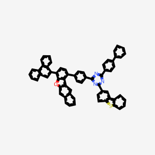 c1ccc(-c2ccc(-c3nc(-c4ccc(-c5ccc(-c6cc7ccccc7c7ccccc67)c6oc7cc8ccccc8cc7c56)cc4)nc(-c4ccc5sc6ccccc6c5c4)n3)cc2)cc1